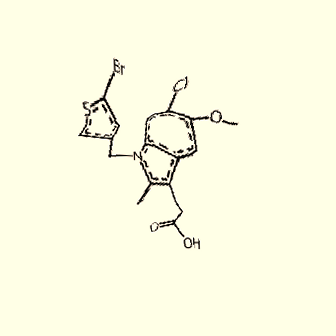 COc1cc2c(CC(=O)O)c(C)n(Cc3csc(Br)c3)c2cc1Cl